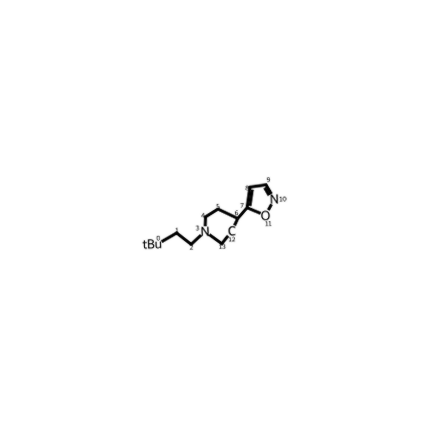 CC(C)(C)CCN1CCC(c2ccno2)CC1